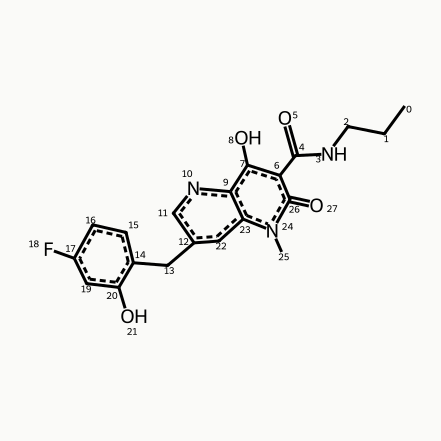 CCCNC(=O)c1c(O)c2ncc(Cc3ccc(F)cc3O)cc2n(C)c1=O